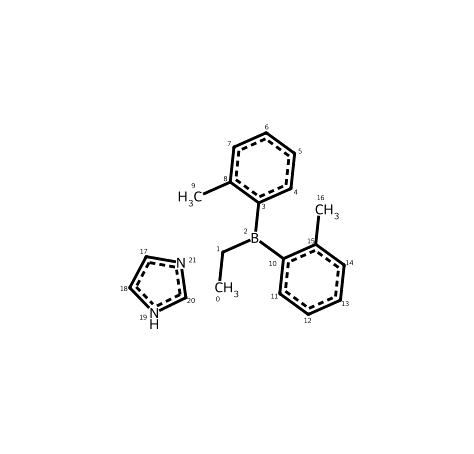 CCB(c1ccccc1C)c1ccccc1C.c1c[nH]cn1